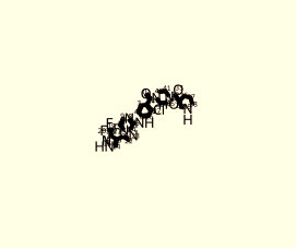 O=C(c1ccc(Nc2nccn3c(-c4c[nH]nc4C(F)(F)F)cnc23)cc1Cl)N1CCN(C(=O)[C@]2(O)CCCNC2)CC1